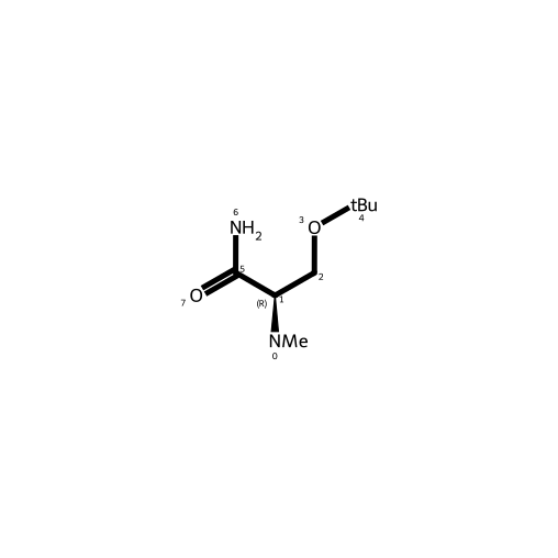 CN[C@H](COC(C)(C)C)C(N)=O